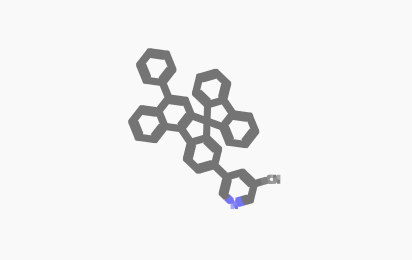 N#Cc1cncc(-c2ccc3c(c2)C2(c4ccccc4-c4ccccc42)c2cc(-c4ccccc4)c4ccccc4c2-3)c1